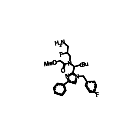 COCC(=O)N(CC(F)CN)C(c1nc(-c2ccccc2)cn1Cc1ccc(F)cc1)C(C)(C)C